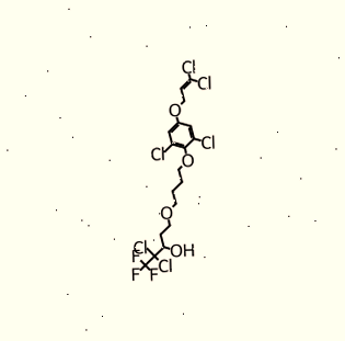 OC(CCOCCCCOc1c(Cl)cc(OCC=C(Cl)Cl)cc1Cl)C(Cl)(Cl)C(F)(F)F